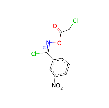 O=C(CCl)O/N=C(/Cl)c1cccc([N+](=O)[O-])c1